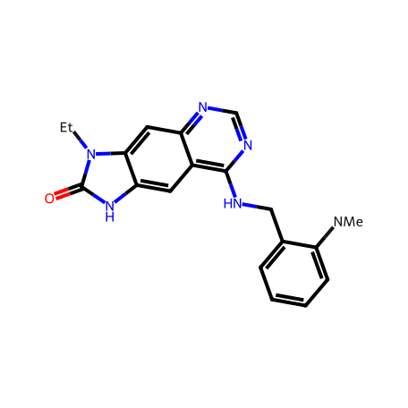 CCn1c(=O)[nH]c2cc3c(NCc4ccccc4NC)ncnc3cc21